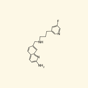 Nc1ccc2ccc(CNCCCc3cncc(F)c3)cc2n1